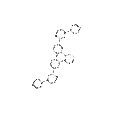 c1ccc2c(c1)c1cc(-c3cc(-c4ccncc4)ccn3)ccc1c1ccc(-c3cc(-c4ccncc4)ccn3)cc21